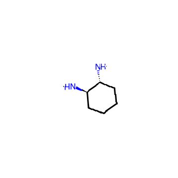 [NH][C@@H]1CCCC[C@H]1[NH]